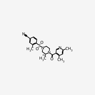 Cc1cc(C)c(C(=O)N2CCN(S(=O)(=O)c3ccc(C#N)cc3C)C[C@@H]2C)cn1